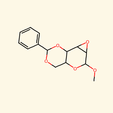 COC1OC2COC(c3ccccc3)OC2C2OC12